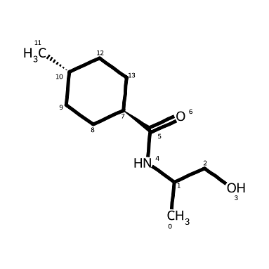 CC(CO)NC(=O)[C@H]1CC[C@H](C)CC1